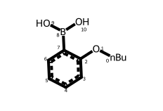 CCCCOc1ccccc1B(O)O